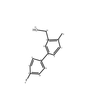 Cc1ccc(-c2ccc(F)cc2)cc1CO